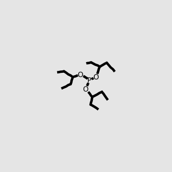 CCC(CC)OP(OC(CC)CC)OC(CC)CC